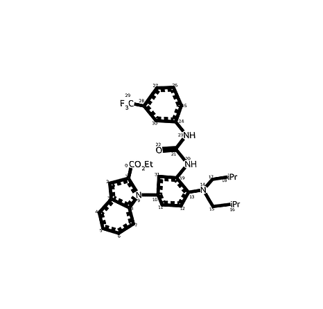 CCOC(=O)c1cc2ccccc2n1-c1ccc(N(CC(C)C)CC(C)C)c(NC(=O)Nc2cccc(C(F)(F)F)c2)c1